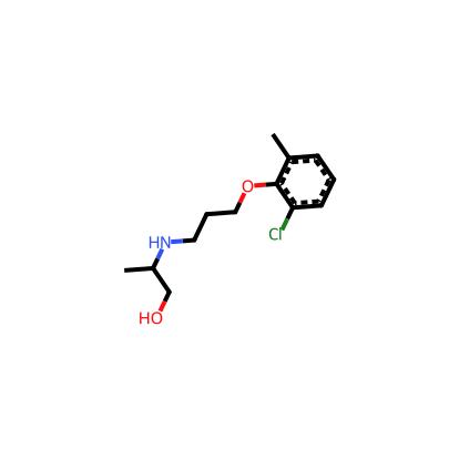 Cc1cccc(Cl)c1OCCCNC(C)CO